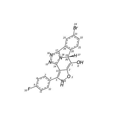 OC1=C2ONC(c3ccc(F)cc3)=C2c2nnc3n2[C@@H]1c1ccc(Br)cc1-3